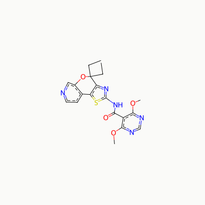 CCC1(CC)Oc2cnccc2-c2sc(NC(=O)c3c(OC)ncnc3OC)nc21